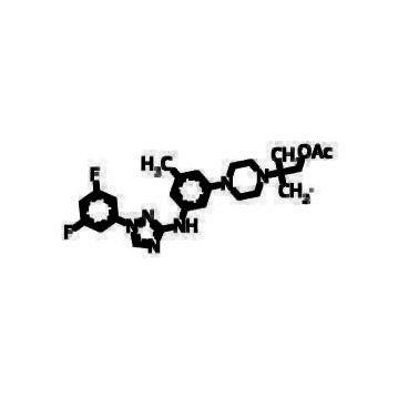 [CH2]C(C)(COC(C)=O)N1CCN(c2cc(C)cc(Nc3ncn(-c4cc(F)cc(F)c4)n3)c2)CC1